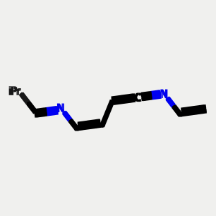 C=CN=C=C/C=C\N=C\C(C)C